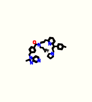 Cc1ccc(C(=CCN2CCCC2)c2cccc(CC=CN(CCC(C)C)C(=O)c3ccc(Cn4c(C)nc5cnccc54)cc3)n2)cc1